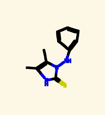 Cc1[nH]c(=S)n(Nc2ccccc2)c1C